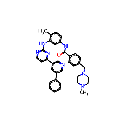 Cc1ccc(NC(=O)c2ccc(CN3CCN(C)CC3)cc2)cc1Nc1nccc(-c2cncc(-c3ccccc3)c2)n1